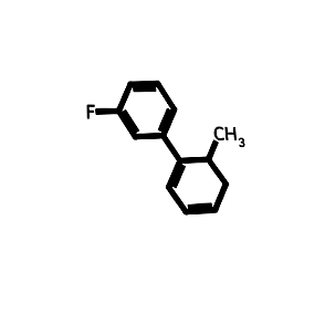 CC1CC=CC=C1c1cccc(F)c1